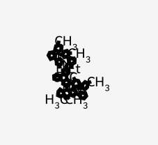 CCc1ccccc1N(c1ccc2c3ccc(N4c5ccccc5C(C)(C)c5cc6c(cc54)[Si](c4ccc(C)cc4)(c4ccc(C)cc4)c4ccccc4-6)cc3c3ccccc3c2c1)c1cc2c(cc1CC)-c1ccccc1[Si]2(c1ccc(C)cc1)c1ccc(C)cc1